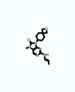 C/C=C/Nc1ncc2c(n1)n(C1CCC3(CC1)COC3)c(=O)n2C